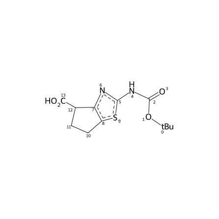 CC(C)(C)OC(=O)Nc1nc2c(s1)CCC2C(=O)O